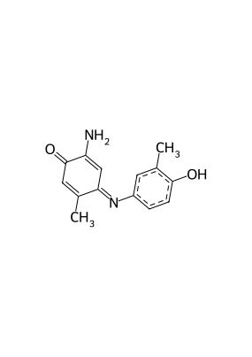 CC1=CC(=O)C(N)=CC1=Nc1ccc(O)c(C)c1